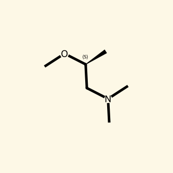 CO[C@@H](C)CN(C)C